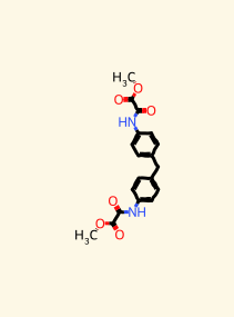 COC(=O)C(=O)Nc1ccc(Cc2ccc(NC(=O)C(=O)OC)cc2)cc1